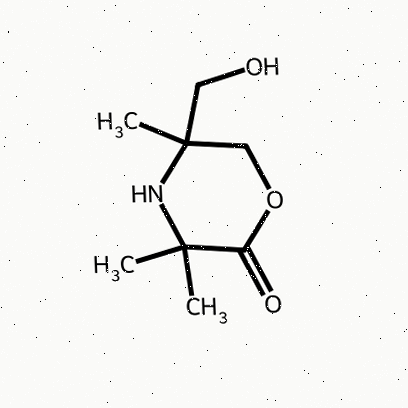 CC1(CO)COC(=O)C(C)(C)N1